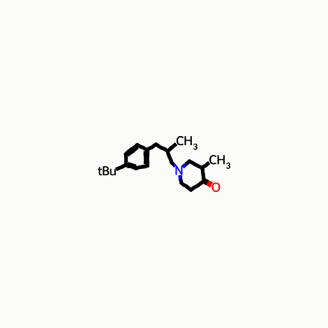 CC(Cc1ccc(C(C)(C)C)cc1)CN1CCC(=O)C(C)C1